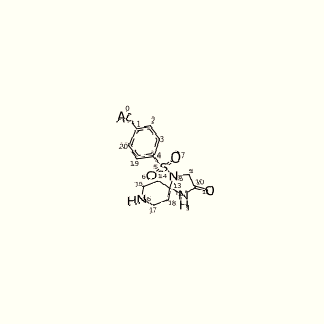 CC(=O)c1ccc(S(=O)(=O)N2CC(=O)NC23CCNCC3)cc1